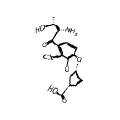 C[C@@H](O)[C@H](N)C(=O)c1ccc(O[C@@H]2CC[C@@H](C(=O)O)C2)c(Cl)c1Cl